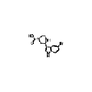 O=C(O)N1CCNC(c2c[nH]c3ccc(Br)cc23)C1